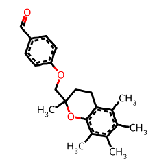 Cc1c(C)c(C)c2c(c1C)CCC(C)(COc1ccc(C=O)cc1)O2